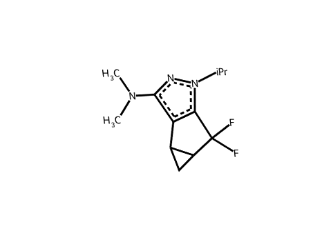 CC(C)n1nc(N(C)C)c2c1C(F)(F)C1CC21